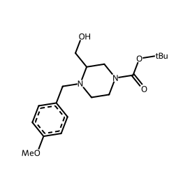 COc1ccc(CN2CCN(C(=O)OC(C)(C)C)CC2CO)cc1